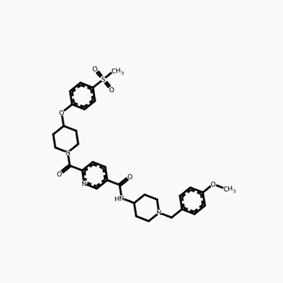 COc1ccc(CN2CCC(NC(=O)c3ccc(C(=O)N4CCC(Oc5ccc(S(C)(=O)=O)cc5)CC4)nc3)CC2)cc1